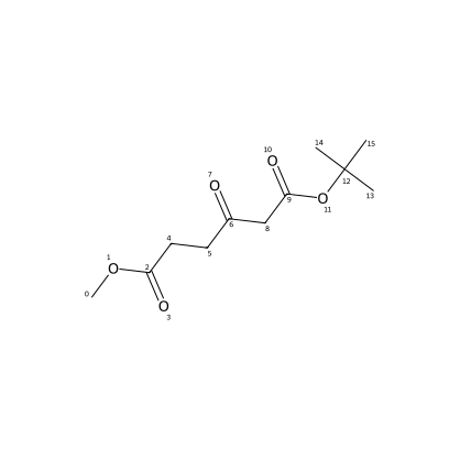 COC(=O)CCC(=O)CC(=O)OC(C)(C)C